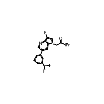 CC(C)C(=O)Cn1cc(F)c2ncc(-c3cccc(C(F)F)c3)cc21